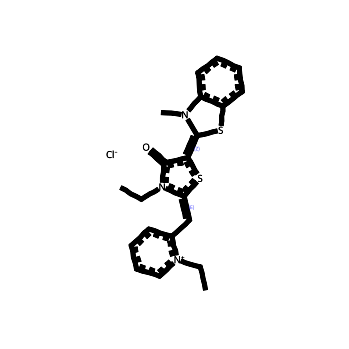 CCn1c(=O)/c(=C2/Sc3ccccc3N2C)s/c1=C/c1cccc[n+]1CC.[Cl-]